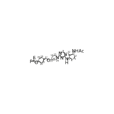 CC(=O)Nc1cccc(Nc2ncnc(N3CCC(OCc4ccc(OC(F)F)cc4)CC3)n2)c1C